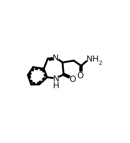 NC(=O)CC1N=Cc2ccccc2NC1=O